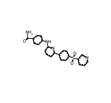 NC(=O)c1ccc(Nc2cccc(-c3ccc(S(=O)(=O)c4cccnc4)cc3)n2)cc1